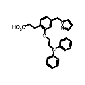 O=C(O)CCc1ccc(Cn2cccn2)cc1OCCN(c1ccccc1)c1ccccc1